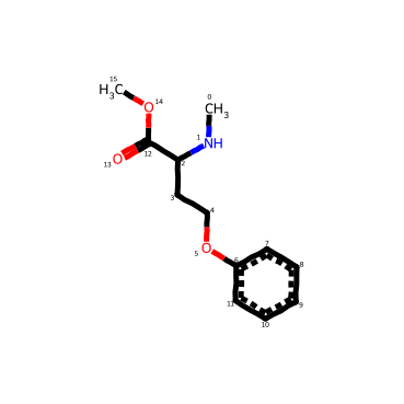 CNC(CCOc1ccccc1)C(=O)OC